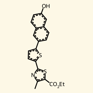 CCOC(=O)c1sc(-c2ccc(-c3ccc4cc(O)ccc4c3)s2)nc1C